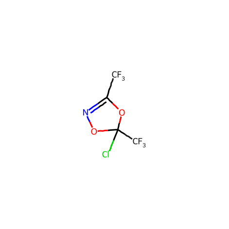 FC(F)(F)C1=NOC(Cl)(C(F)(F)F)O1